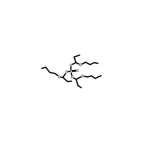 CCCCOC(CC)OP(=O)(OC(CC)OCCCC)OC(CC)OCCCC